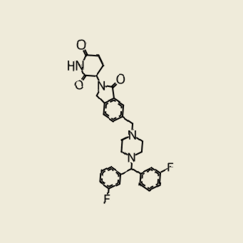 O=C1CCC(N2Cc3ccc(CN4CCN(C(c5cccc(F)c5)c5cccc(F)c5)CC4)cc3C2=O)C(=O)N1